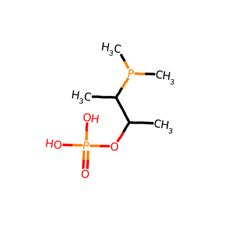 CC(OP(=O)(O)O)C(C)P(C)C